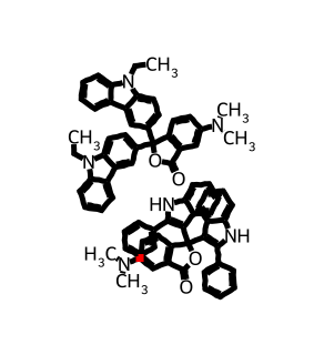 CCn1c2ccccc2c2cc(C3(c4ccc5c(c4)c4ccccc4n5CC)OC(=O)c4cc(N(C)C)ccc43)ccc21.CN(C)c1ccc2c(c1)C(=O)OC2(c1c(-c2ccccc2)[nH]c2ccccc12)c1c(-c2ccccc2)[nH]c2ccccc12